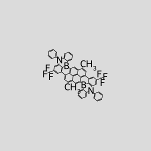 Cc1cc2c3c(cc4c(C)cc5c6c(cc1c3c46)B1c3ccccc3N(c3ccccc3)c3cc(C(F)(F)F)cc-5c31)B1c3ccccc3N(c3ccccc3)c3cc(C(F)(F)F)cc-2c31